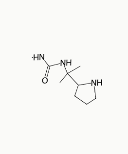 CC(C)(NC([NH])=O)C1CCCN1